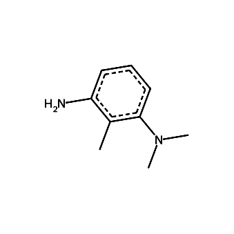 Cc1c(N)cccc1N(C)C